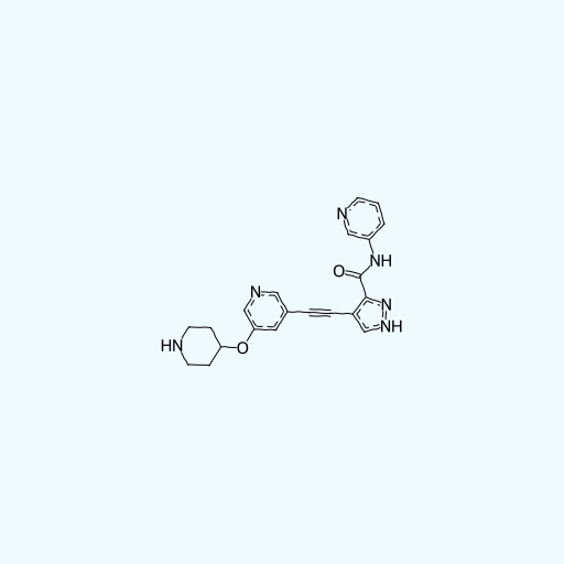 O=C(Nc1cccnc1)c1n[nH]cc1C#Cc1cncc(OC2CCNCC2)c1